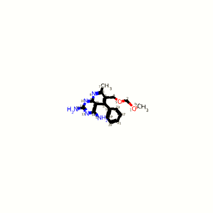 COCOCc1c(C)nc2nc(N)nc(N)c2c1-c1ccccc1